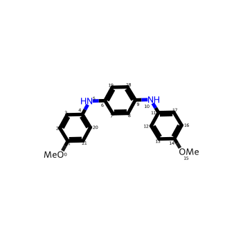 COc1ccc(Nc2ccc(Nc3ccc(OC)cc3)cc2)cc1